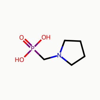 O=P(O)(O)CN1CCCC1